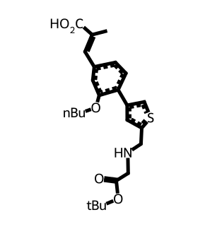 CCCCOc1cc(/C=C(\C)C(=O)O)ccc1-c1csc(CNCC(=O)OC(C)(C)C)c1